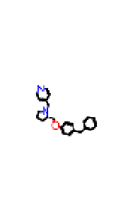 c1ccc(Cc2ccc(OC[C@H]3CCCN3Cc3ccncc3)cc2)cc1